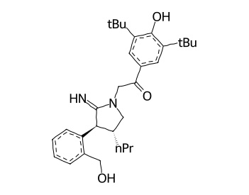 CCC[C@H]1CN(CC(=O)c2cc(C(C)(C)C)c(O)c(C(C)(C)C)c2)C(=N)[C@@H]1c1ccccc1CO